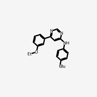 CCOc1cccc(-c2cc(Nc3ccc(C(C)(C)C)cc3)ncn2)c1